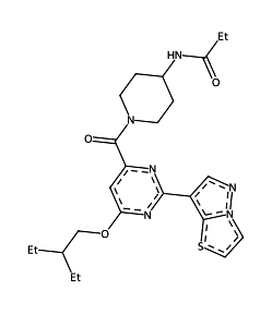 CCC(=O)NC1CCN(C(=O)c2cc(OCC(CC)CC)nc(-c3cnn4ccsc34)n2)CC1